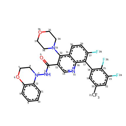 O=C(NN1CCOc2ccccc21)c1cnc2c(-c3cc(C(F)(F)F)cc(F)c3F)c(F)ccc2c1N1CCOCC1